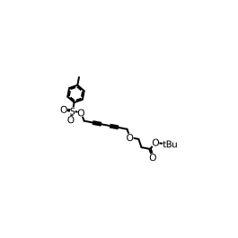 Cc1ccc(S(=O)(=O)OCC#CC#CCOCCC(=O)OC(C)(C)C)cc1